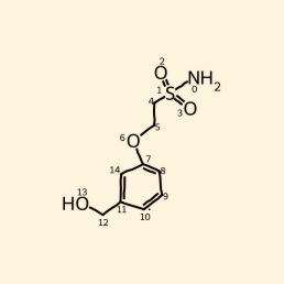 NS(=O)(=O)CCOc1cc[c]c(CO)c1